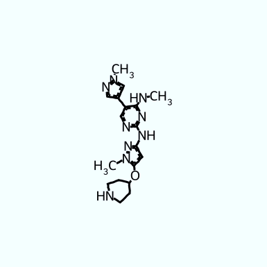 CNc1nc(Nc2cc(OC3CCNCC3)n(C)n2)ncc1-c1cnn(C)c1